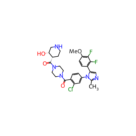 COc1ccc(-c2cnc(C)n2-c2ccc(C(=O)N3CCN(C(=O)[C@H]4CCNC[C@H]4O)CC3)c(Cl)c2)c(F)c1F